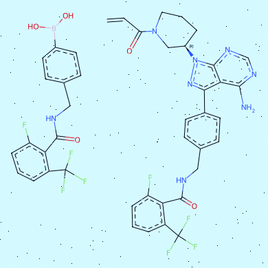 C=CC(=O)N1CCC[C@@H](n2nc(-c3ccc(CNC(=O)c4c(F)cccc4C(F)(F)F)cc3)c3c(N)ncnc32)C1.O=C(NCc1ccc(B(O)O)cc1)c1c(F)cccc1C(F)(F)F